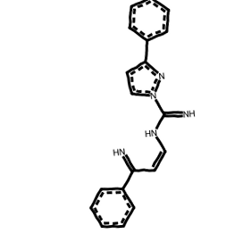 N=C(/C=C\NC(=N)n1ccc(-c2ccccc2)n1)c1ccccc1